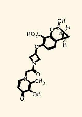 Cc1c(O)c(=O)ccn1CC(=O)N1CC(Oc2ccc3c(c2C(=O)O)OB(O)[C@H]2C[C@@H]32)C1